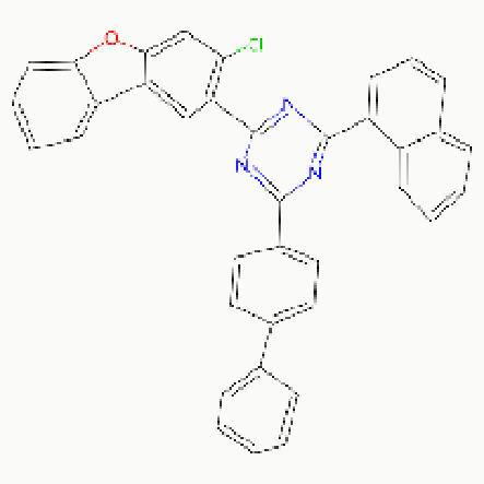 Clc1cc2oc3ccccc3c2cc1-c1nc(-c2ccc(-c3ccccc3)cc2)nc(-c2cccc3ccccc23)n1